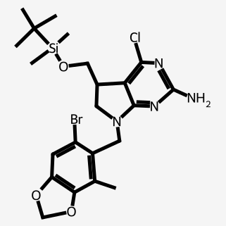 Cc1c(CN2CC(CO[Si](C)(C)C(C)(C)C)c3c(Cl)nc(N)nc32)c(Br)cc2c1OCO2